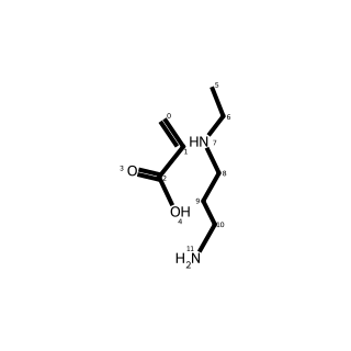 C=CC(=O)O.CCNCCCN